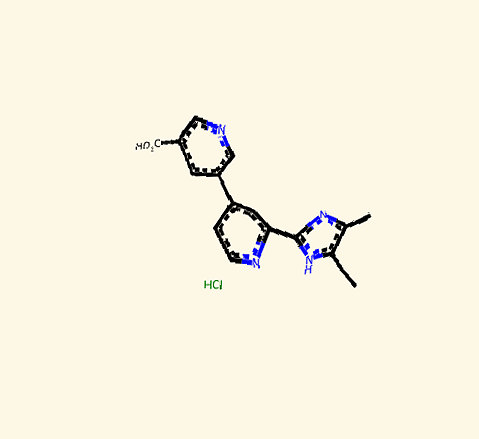 Cc1nc(-c2cc(-c3cncc(C(=O)O)c3)ccn2)[nH]c1C.Cl